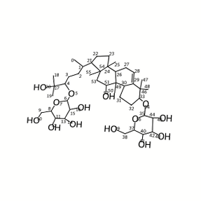 CC(CCC(OC1OC(CO)C(O)C(O)C1O)C(C)(C)O)C1CCC2(C)C3CC=C4C(CCC(OC5OC(CO)C(O)C(O)C5O)C4(C)C)C3(C)C(O)CC12C